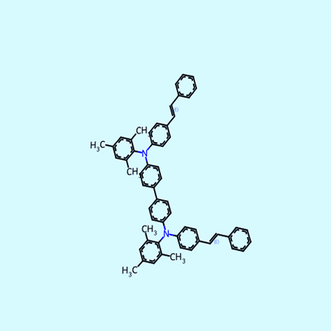 Cc1cc(C)c(N(c2ccc(/C=C/c3ccccc3)cc2)c2ccc(-c3ccc(N(c4ccc(/C=C/c5ccccc5)cc4)c4c(C)cc(C)cc4C)cc3)cc2)c(C)c1